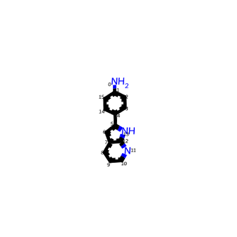 Nc1ccc(-c2cc3cccnc3[nH]2)cc1